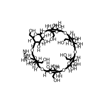 N=[N+]=N.OC[C@H]1O[C@@H]2O[C@H]3[C@H](O)[C@@H](O)[C@@H](O[C@H]4[C@H](O)[C@@H](O)[C@@H](O[C@H]5[C@H](O)[C@@H](O)[C@@H](O[C@H]6[C@H](O)[C@@H](O)[C@@H](O[C@H]7[C@H](O)[C@@H](O)[C@@H](O[C@H]1[C@H](O)[C@H]2O)O[C@@H]7CO)O[C@@H]6CO)O[C@@H]5CO)O[C@@H]4CO)O[C@@H]3CO